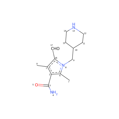 Cc1c(C(N)=O)c(C)n(CC2CCNCC2)c1C=O